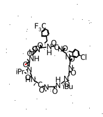 CCC(C)[C@@H]1NC(=O)[C@H](C)N(C)C(=O)C[C@@H](C)NC(=O)[C@H](CC(C)C)N(C)C(=O)C(C)(C)NC(=O)[C@@H]2CCCN2C(=O)[C@H](CCc2ccc(C(F)(F)F)cc2)NC(=O)CN(C)C(=O)[C@H](Cc2ccc(Cl)cc2)N(C)C(=O)CN(C)C(=O)CN(C)C1=O